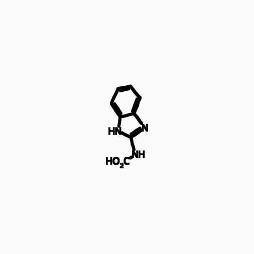 O=C(O)Nc1nc2ccccc2[nH]1